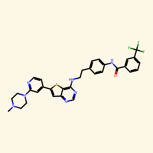 CN1CCN(c2cc(-c3cc4ncnc(NCCc5ccc(NC(=O)c6cccc(C(F)(F)F)c6)cc5)c4s3)ccn2)CC1